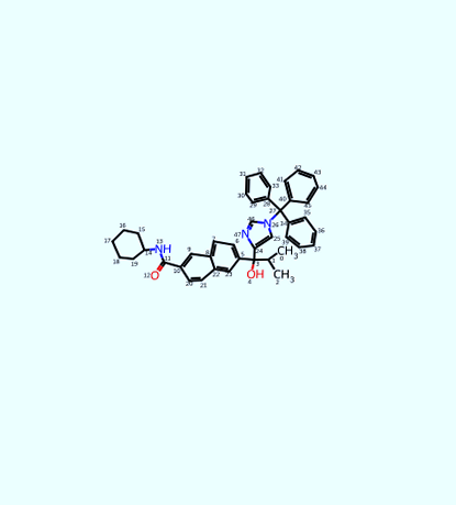 CC(C)C(O)(c1ccc2cc(C(=O)NC3CCCCC3)ccc2c1)c1cn(C(c2ccccc2)(c2ccccc2)c2ccccc2)cn1